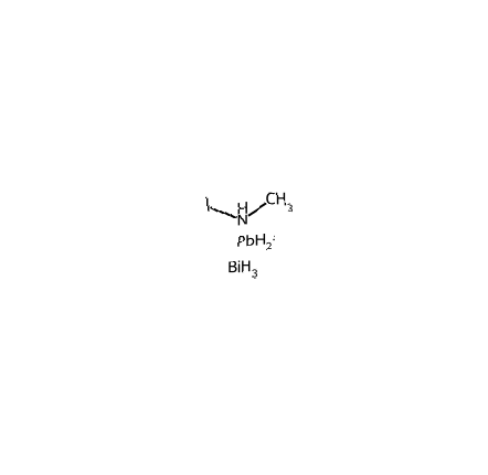 CNI.[BiH3].[PbH2]